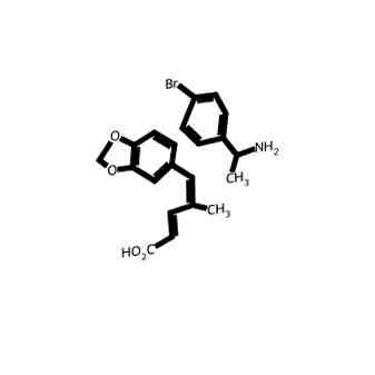 CC(C=CC(=O)O)=Cc1ccc2c(c1)OCO2.CC(N)c1ccc(Br)cc1